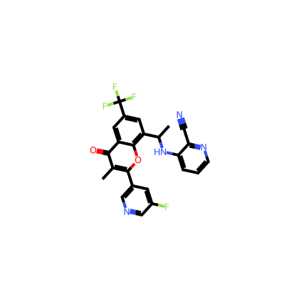 Cc1c(-c2cncc(F)c2)oc2c(C(C)Nc3cccnc3C#N)cc(C(F)(F)F)cc2c1=O